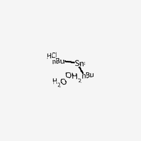 CCC[CH2][Sn][CH2]CCC.Cl.O.O